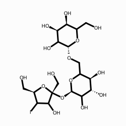 OCC1O[C@H](OCC2O[C@H](O[C@@]3(CO)O[C@H](CO)C(I)C3O)C(O)[C@@H](O)[C@@H]2O)C(O)[C@@H](O)[C@H]1O